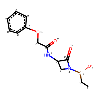 CC[S@@+]([O-])N1CC(NC(=O)COc2ccccc2)C1=O